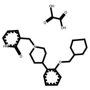 O=C(O)C(=O)O.O=c1[nH]cccc1CN1CCC(c2ccccc2OCC2CCCCC2)CC1